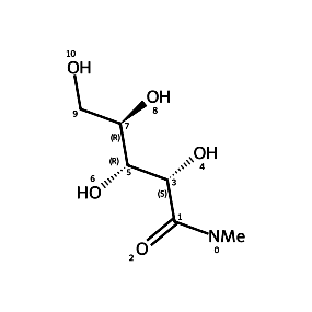 CNC(=O)[C@@H](O)[C@H](O)[C@H](O)CO